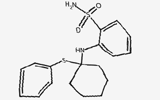 NS(=O)(=O)c1ccccc1NC1(Sc2ccccc2)CCCCC1